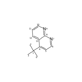 CC(C)(C)c1ccnc2ncccc12